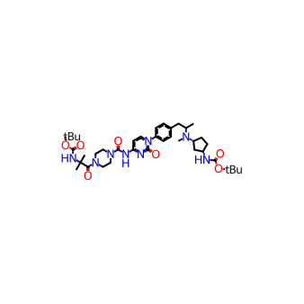 CC(Cc1ccc(-n2ccc(NC(=O)N3CCN(C(=O)C(C)(C)NC(=O)OC(C)(C)C)CC3)nc2=O)cc1)N(C)[C@H]1CC[C@@H](NC(=O)OC(C)(C)C)C1